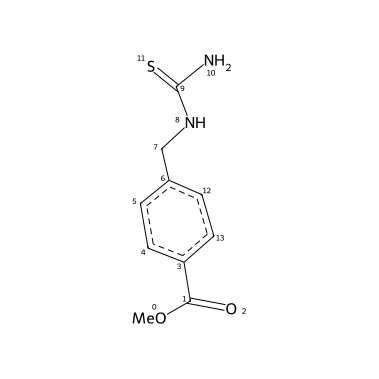 COC(=O)c1ccc(CNC(N)=S)cc1